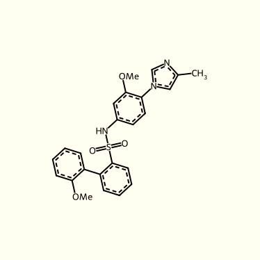 COc1ccccc1-c1ccccc1S(=O)(=O)Nc1ccc(-n2cnc(C)c2)c(OC)c1